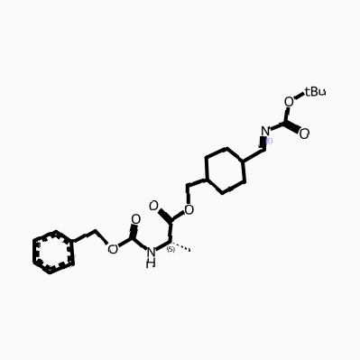 C[C@H](NC(=O)OCc1ccccc1)C(=O)OCC1CCC(/C=N/C(=O)OC(C)(C)C)CC1